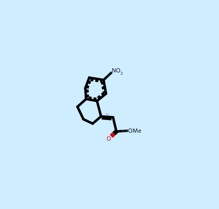 COC(=O)/C=C1\CCCc2ccc([N+](=O)[O-])cc21